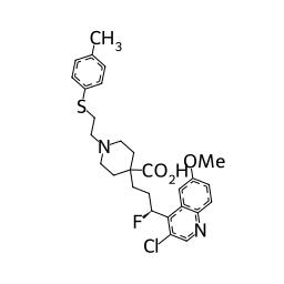 COc1ccc2ncc(Cl)c([C@@H](F)CCC3(C(=O)O)CCN(CCSc4ccc(C)cc4)CC3)c2c1